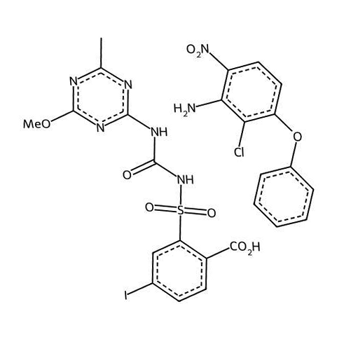 COc1nc(C)nc(NC(=O)NS(=O)(=O)c2cc(I)ccc2C(=O)O)n1.Nc1c([N+](=O)[O-])ccc(Oc2ccccc2)c1Cl